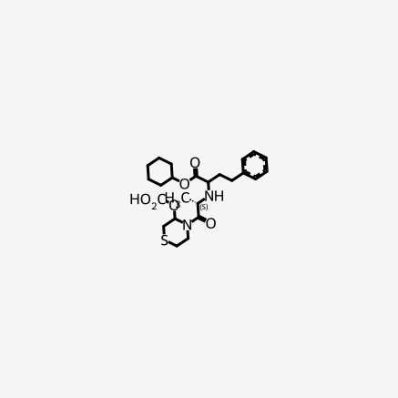 C[C@H](NC(CCc1ccccc1)C(=O)OC1CCCCC1)C(=O)N1CCSCC1OC(=O)O